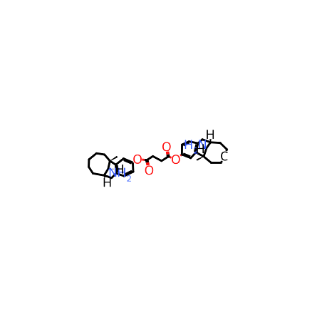 C[C@@]12CCCCC[C@@H](Cc3ccc(OC(=O)CCC(=O)Oc4ccc5c(c4)[C@@]4(C)CCCCC[C@@H](C5)[C@@H]4N)cc31)[C@@H]2N